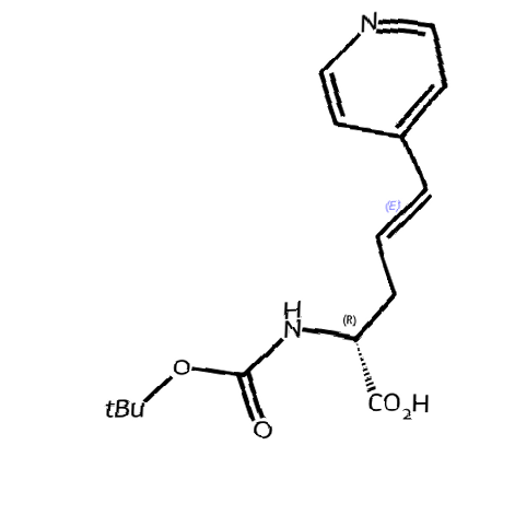 CC(C)(C)OC(=O)N[C@H](C/C=C/c1ccncc1)C(=O)O